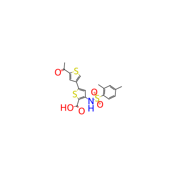 CC(=O)c1cc(-c2cc(NS(=O)(=O)c3ccc(C)cc3C)c(C(=O)O)s2)cs1